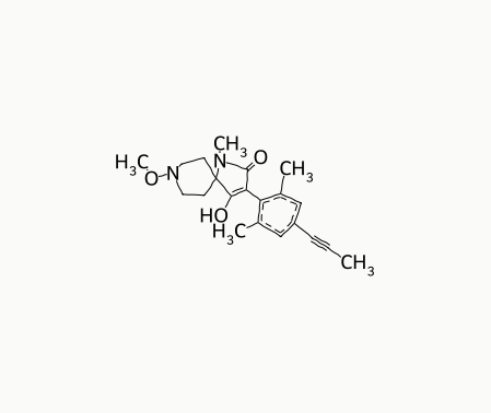 CC#Cc1cc(C)c(C2=C(O)C3(CCN(OC)CC3)N(C)C2=O)c(C)c1